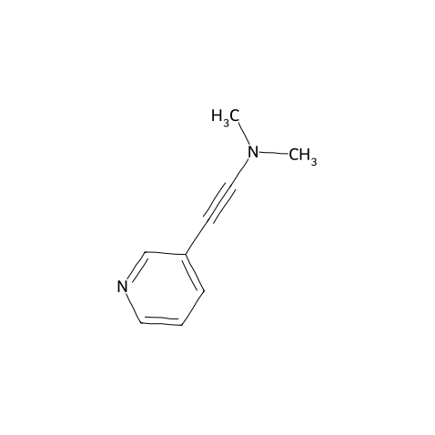 CN(C)C#Cc1cccnc1